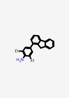 CCc1cc(-c2cccc3c2Cc2ccccc2-3)cc(CC)c1N